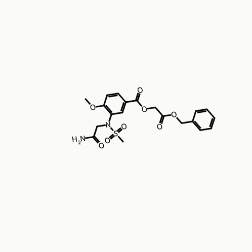 COc1ccc(C(=O)OCC(=O)OCc2ccccc2)cc1N(CC(N)=O)S(C)(=O)=O